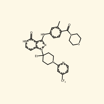 CCC1(n2nc(Nc3ccc(C(=O)N4CCSCC4)c(C)c3)c3c(=O)[nH]ccc32)CCN(c2cc(C(F)(F)F)ccn2)CC1